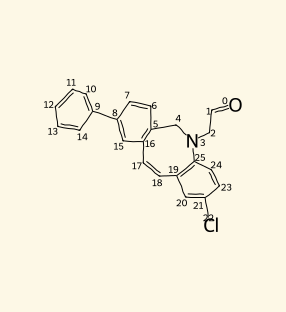 O=CCN1Cc2ccc(-c3ccccc3)cc2/C=C\c2cc(Cl)ccc21